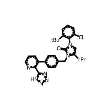 CCCc1cn(-c2c(Cl)cccc2C(C)(C)C)c(=O)n1Cc1ccc(-c2cccnc2-c2nnn[nH]2)cc1